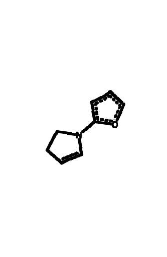 C1=CN(c2ccco2)CC1